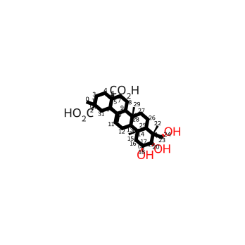 C[C@]1(C(=O)O)CCC2(C(=O)O)CCC3C(=CCC4[C@@]5(C)C[C@H](O)C(O)[C@@](C)(CO)C5CC[C@@]34C)C2C1